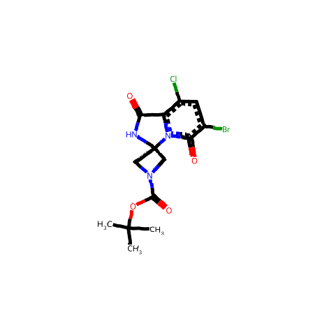 CC(C)(C)OC(=O)N1CC2(C1)NC(=O)c1c(Cl)cc(Br)c(=O)n12